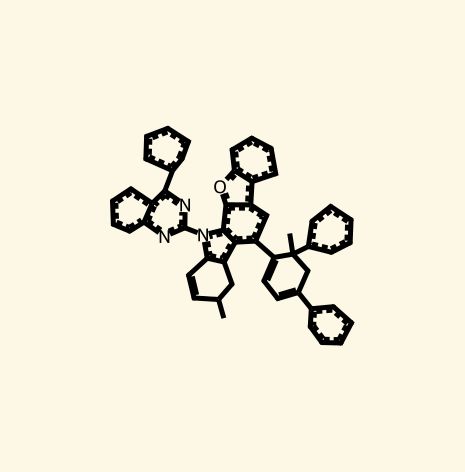 CC1C=Cc2c(c3c(C4=CC=C(c5ccccc5)CC4(C)c4ccccc4)cc4c5ccccc5oc4c3n2-c2nc(-c3ccccc3)c3ccccc3n2)C1